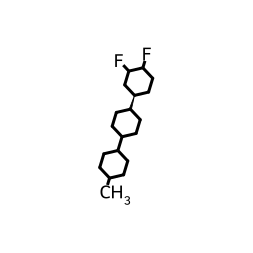 CC1CCC(C2CCC([C@@H]3CCC(F)C(F)C3)CC2)CC1